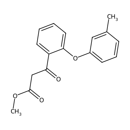 COC(=O)CC(=O)c1ccccc1Oc1cccc(C)c1